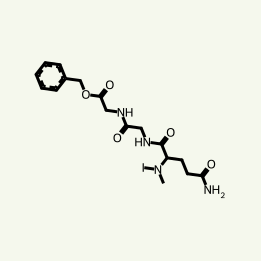 CN(I)C(CCC(N)=O)C(=O)NCC(=O)NCC(=O)OCc1ccccc1